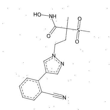 CC(CCn1cc(-c2ccccc2C#N)cn1)(C(=O)NO)S(C)(=O)=O